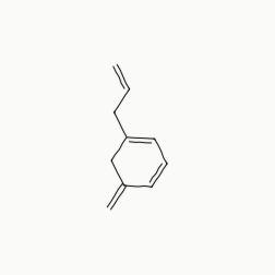 C=CCC1=CC=CC(=C)C1